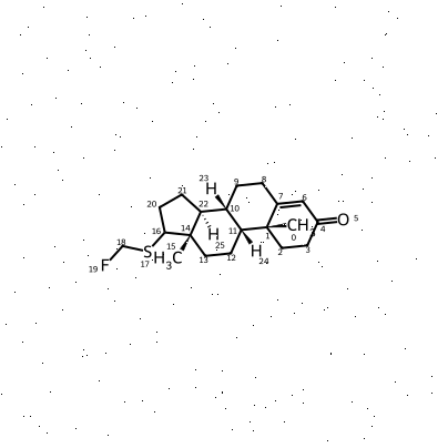 C[C@]12CCC(=O)C=C1CC[C@@H]1[C@H]2CC[C@]2(C)C(SCF)CC[C@@H]12